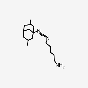 CC1CC2CC(C)CC(N=C=NCCCCCN)(C1)C2